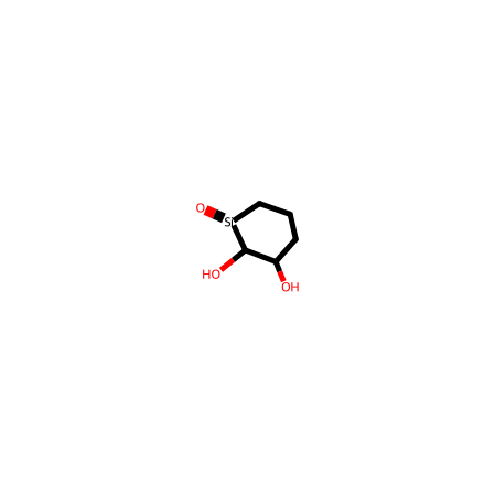 O=[Si]1CCCC(O)C1O